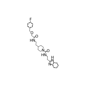 O=C(COCc1ccc(F)cc1)NCCC1CCN(C(=O)NCCc2nc3ccccc3[nH]2)CC1